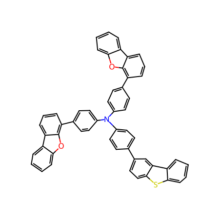 c1ccc2c(c1)oc1c(-c3ccc(N(c4ccc(-c5ccc6sc7ccccc7c6c5)cc4)c4ccc(-c5cccc6c5oc5ccccc56)cc4)cc3)cccc12